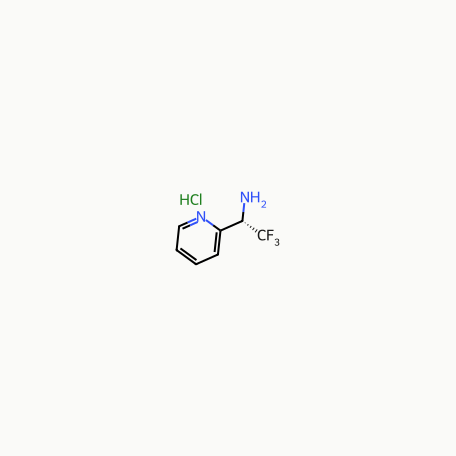 Cl.N[C@@H](c1ccccn1)C(F)(F)F